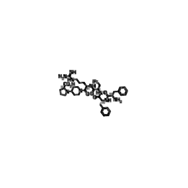 CC(C)C[C@@H](NC(=O)[C@@H](Cc1ccccc1)NC(=O)[C@H](N)Cc1ccccc1)C(=O)N[C@H](CCCNC(=N)N)C(=O)N1CCC(N2CCC[C@H]2C(=O)O)CC1